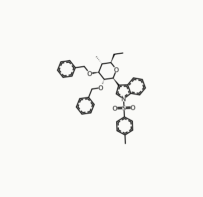 CC[C@H]1O[C@@H](c2cn(S(=O)(=O)c3ccc(C)cc3)c3ccccc23)[C@H](OCc2ccccc2)[C@@H](OCc2ccccc2)[C@@H]1C